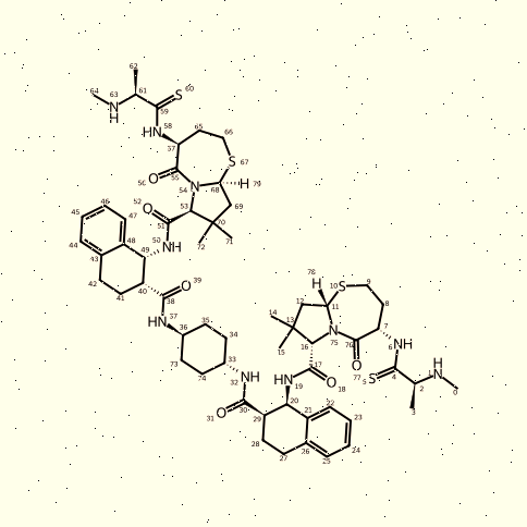 CN[C@@H](C)C(=S)N[C@H]1CCS[C@H]2CC(C)(C)[C@@H](C(=O)N[C@H]3c4ccccc4CC[C@H]3C(=O)N[C@H]3CC[C@H](NC(=O)[C@@H]4CCc5ccccc5[C@@H]4NC(=O)[C@H]4N5C(=O)[C@@H](NC(=S)[C@H](C)NC)CCS[C@H]5CC4(C)C)CC3)N2C1=O